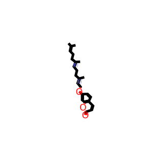 CC(C)=CCC/C(C)=C/CC/C(C)=C/COc1ccc2ccc(=O)oc2c1